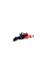 CCn1cc(C(=O)O)c(=O)c2cc(F)c(N3CCN(c4nc5ccccc5s4)CC3)c(OC(F)F)c21